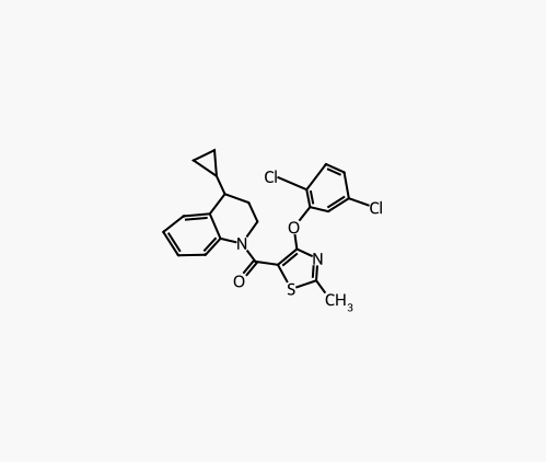 Cc1nc(Oc2cc(Cl)ccc2Cl)c(C(=O)N2CCC(C3CC3)c3ccccc32)s1